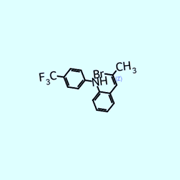 C/C(Br)=C/c1ccccc1Nc1ccc(C(F)(F)F)cc1